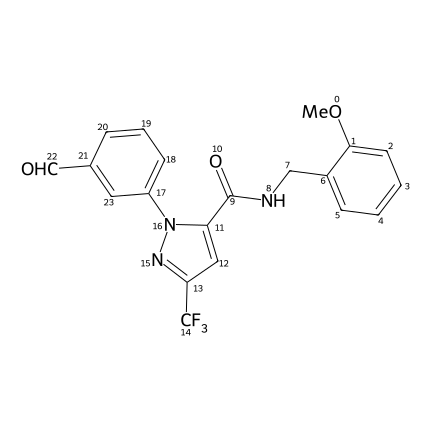 COc1ccccc1CNC(=O)c1cc(C(F)(F)F)nn1-c1cccc(C=O)c1